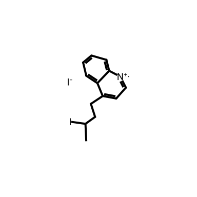 CC(I)CCC1=CC=[N+]c2ccccc21.[I-]